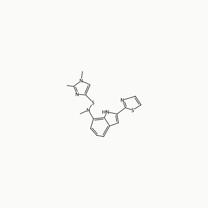 Cc1nc(SN(C)c2cccc3cc(-c4nccs4)[nH]c23)cn1C